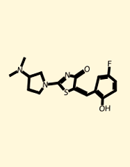 CN(C)C1CCN(C2=NC(=O)C(=Cc3cc(F)ccc3O)S2)C1